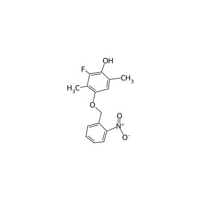 Cc1cc(OCc2ccccc2[N+](=O)[O-])c(C)c(F)c1O